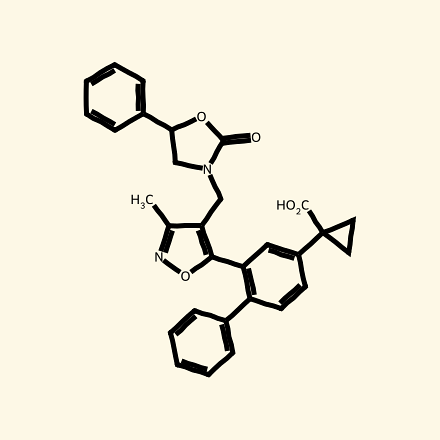 Cc1noc(-c2cc(C3(C(=O)O)CC3)ccc2-c2ccccc2)c1CN1CC(c2ccccc2)OC1=O